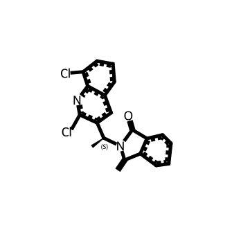 C=C1c2ccccc2C(=O)N1[C@@H](C)c1cc2cccc(Cl)c2nc1Cl